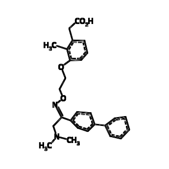 Cc1c(CC(=O)O)cccc1OCCON=C(CN(C)C)c1ccc(-c2ccccc2)cc1